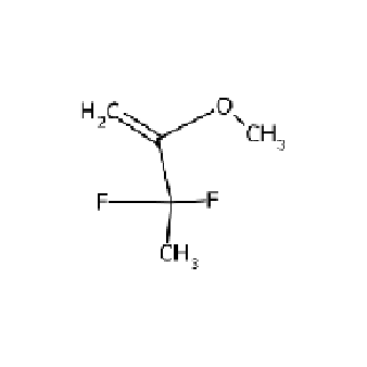 C=C(OC)C(C)(F)F